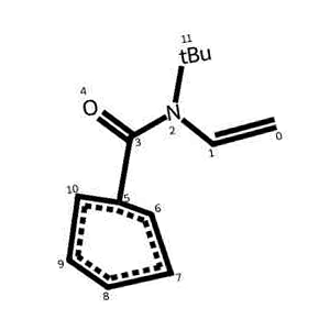 C=CN(C(=O)c1ccccc1)C(C)(C)C